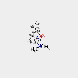 CN(C)CCN1C(=O)C[C@H](c2ccccc2)Cc2ccccc21